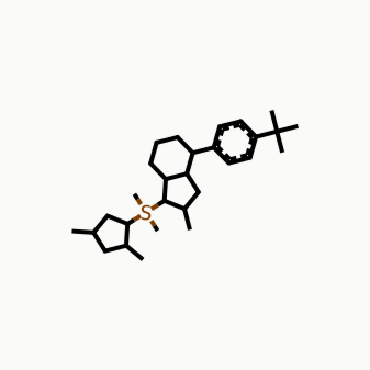 CC1CC(C)C(S(C)(C)C2C(C)CC3C(c4ccc(C(C)(C)C)cc4)CCCC32)C1